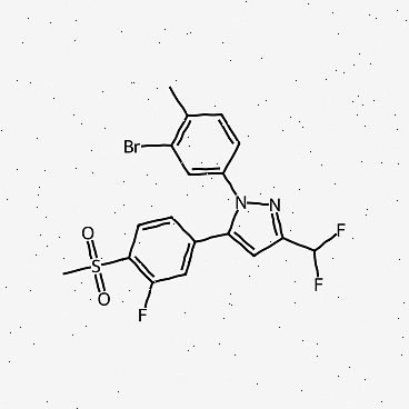 Cc1ccc(-n2nc(C(F)F)cc2-c2ccc(S(C)(=O)=O)c(F)c2)cc1Br